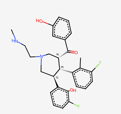 CNCCN1C[C@H](C(=O)c2cccc(O)c2)[C@H](c2cccc(F)c2C)[C@@H](c2cc[c]c(F)c2O)C1